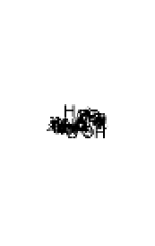 CC(CO[Si](C)(C)C(C)(C)C)Oc1cc(O)cc(C(=O)Nc2ccn(C(C)C)n2)c1